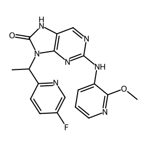 COc1ncccc1Nc1ncc2[nH]c(=O)n(C(C)c3ccc(F)cn3)c2n1